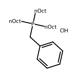 CCCCCCCC[P](CCCCCCCC)(CCCCCCCC)Cc1ccccc1.Cl